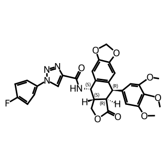 COc1cc([C@@H]2c3cc4c(cc3[C@@H](NC(=O)c3cn(-c5ccc(F)cc5)nn3)[C@H]3COC(=O)[C@H]23)OCO4)cc(OC)c1OC